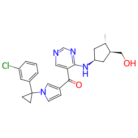 C[C@H]1C[C@H](Nc2ncncc2C(=O)c2ccn(C3(c4cccc(Cl)c4)CC3)c2)C[C@@H]1CO